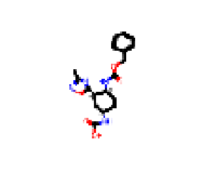 Cc1noc([C@@H]2C[C@H](NC(=O)O)CC[C@@H]2NC(=O)OCc2ccccc2)n1